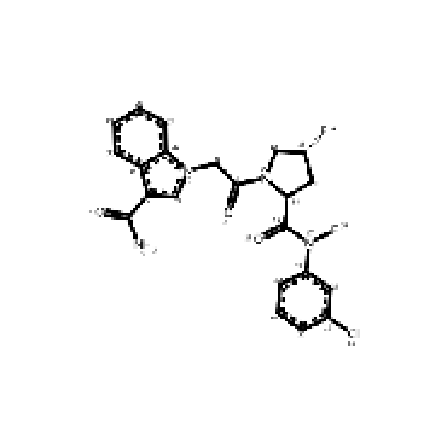 NC(=O)c1cn(CC(=O)N2C[C@H](F)C[C@H]2C(=O)N(F)c2cccc(Cl)c2)c2ccccc12